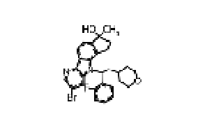 CC1(O)CCc2c1ccc1c3ncc(Br)cc3n(C(CC3CCOCC3)c3ccccc3F)c21